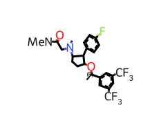 CNC(=O)CN(C)C1CCC(O[C@H](C)c2cc(C(F)(F)F)cc(C(F)(F)F)c2)C1c1ccc(F)cc1